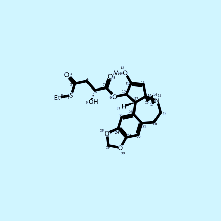 CCSC(=O)C[C@@H](O)C(=O)OC1C(OC)=CC23CCCN2CCc2cc4c(cc2[C@H]13)OCO4